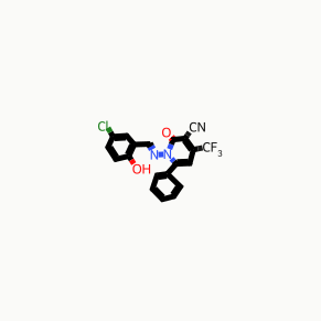 N#Cc1c(C(F)(F)F)cc(-c2ccccc2)n(/N=C/c2cc(Cl)ccc2O)c1=O